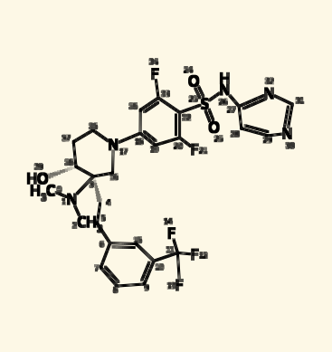 CN(C)[C@]1(CCc2cccc(C(F)(F)F)c2)CN(c2cc(F)c(S(=O)(=O)Nc3ccncn3)c(F)c2)CC[C@H]1O